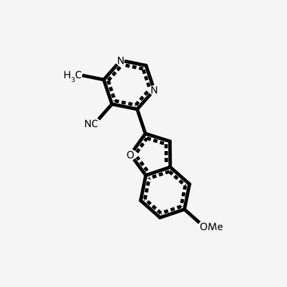 COc1ccc2oc(-c3ncnc(C)c3C#N)cc2c1